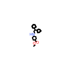 CCOC(=O)C1CCC(NCCC(c2ccccc2)c2ccccc2)CC1